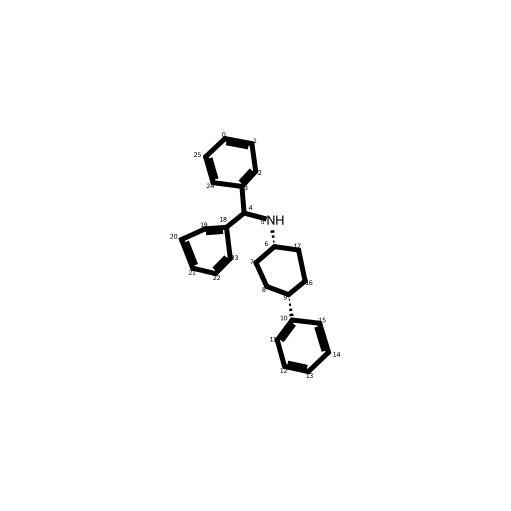 c1ccc(C(N[C@H]2CC[C@@H](c3ccccc3)CC2)c2ccccc2)cc1